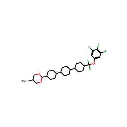 CCCCCC1COC(C2CCC(C3CCC(C4CCC(C(F)(F)Oc5cc(F)c(F)c(F)c5)CC4)CC3)CC2)OC1